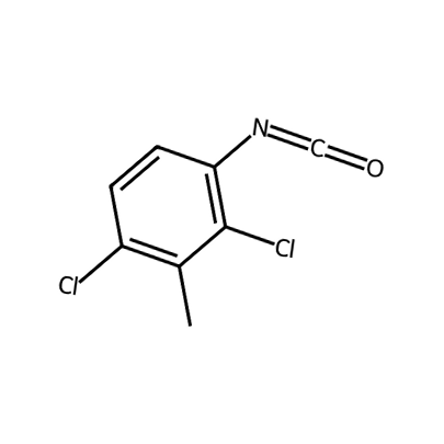 Cc1c(Cl)ccc(N=C=O)c1Cl